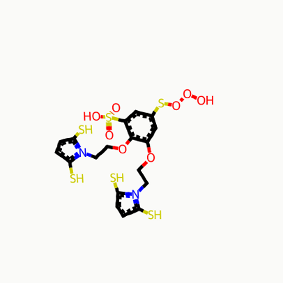 O=S(=O)(O)c1cc(SOOO)cc(OCCn2c(S)ccc2S)c1OCCn1c(S)ccc1S